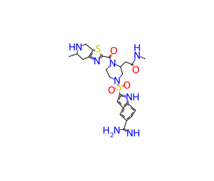 CNC(=O)CC1CN(S(=O)(=O)c2cc3cc(C(=N)N)ccc3[nH]2)CCN1C(=O)c1nc2c(s1)CNC(C)C2